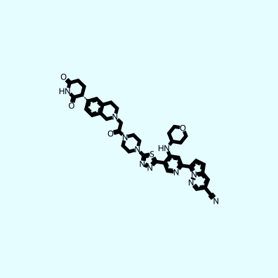 N#Cc1cnn2c(-c3cc(NC4CCOCC4)c(-c4nnc(N5CCN(C(=O)CN6CCc7cc([C@H]8CCC(=O)NC8=O)ccc7C6)CC5)s4)cn3)ccc2c1